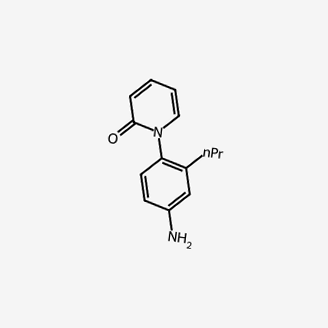 CCCc1cc(N)ccc1-n1ccccc1=O